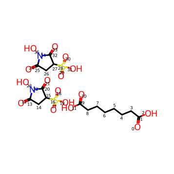 O=C(O)CCCCCCC(=O)O.O=C1CC(S(=O)(=O)O)C(=O)N1O.O=C1CC(S(=O)(=O)O)C(=O)N1O